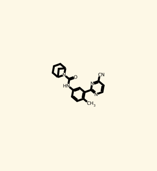 Cc1ccc(NC(=O)N2C3CCCC2C3)cc1-c1nccc(C#N)n1